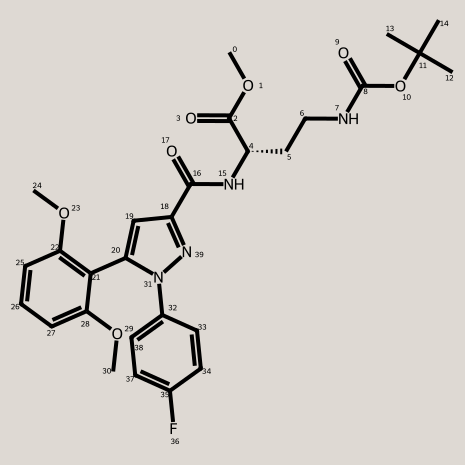 COC(=O)[C@H](CCNC(=O)OC(C)(C)C)NC(=O)c1cc(-c2c(OC)cccc2OC)n(-c2ccc(F)cc2)n1